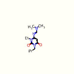 CCn1c(N=CN(C)C)cc(=O)n(CC(C)C)c1=O